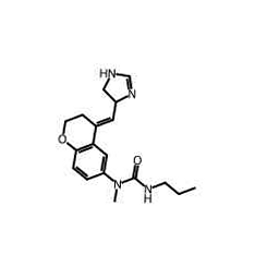 CCCNC(=O)N(C)c1ccc2c(c1)/C(=C/C1CNC=N1)CCO2